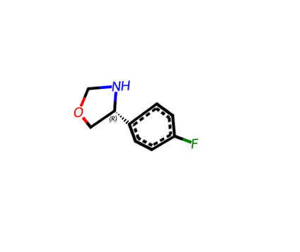 Fc1ccc([C@@H]2COCN2)cc1